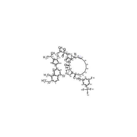 COc1ccc2c(O[C@@H]3C[C@H]4C(=O)N[C@]5(C(=O)NS(=O)(=O)N(C)C)C[C@H]5/C=C\CCCCC[C@H](Nc5cc(F)cc(C(F)(F)F)c5)C(=O)N4C3)cc(-c3nc(C(C)C)cs3)nc2c1C